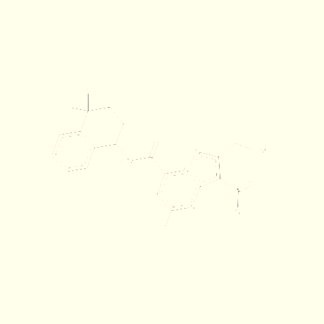 COCc1nn2c(C(=O)NC3CCC(F)(F)c4ccccc43)cc(C)nc2c1C(N)=O